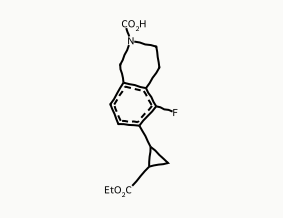 CCOC(=O)C1CC1c1ccc2c(c1F)CCN(C(=O)O)C2